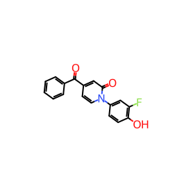 O=C(c1ccccc1)c1ccn(-c2ccc(O)c(F)c2)c(=O)c1